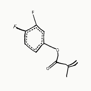 C=C(C)C(=O)Oc1ccc(F)c(F)c1